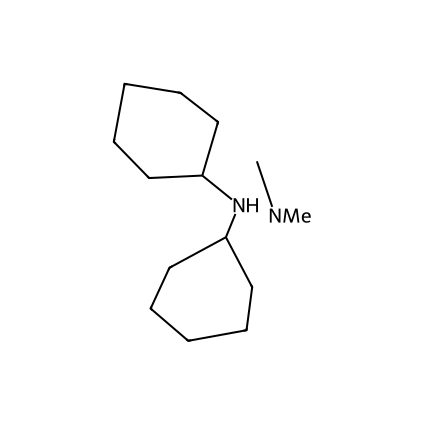 C1CCC(NC2CCCCC2)CC1.CNC